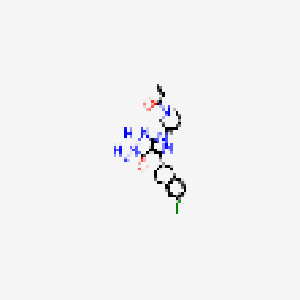 C=CC(=O)N1CCC[C@@H](n2nc(C3CCc4cc(F)ccc4C3)c(C(N)=O)c2N)C1